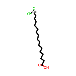 O=C(O)CCCCCCCCCCCCCCC[SiH](Cl)Cl